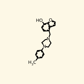 Cc1ccc(N2CCN(Cc3ccc(O)c4occc34)CC2)cc1